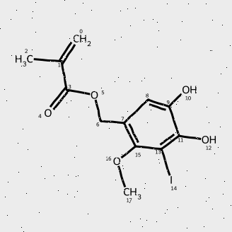 C=C(C)C(=O)OCc1cc(O)c(O)c(I)c1OC